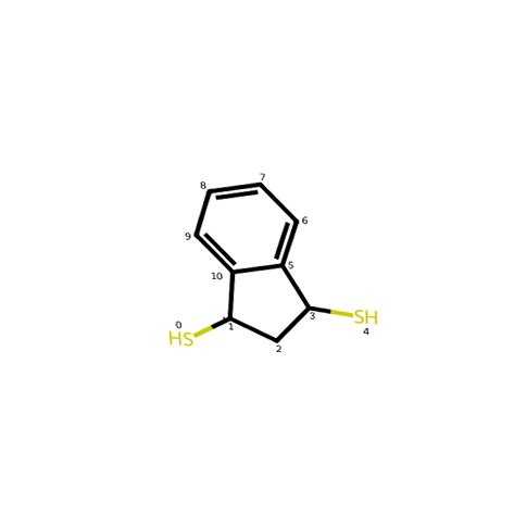 S[C]1CC(S)c2ccccc21